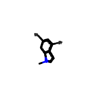 CCc1cc(C(C)C)c2ccn(C)c2c1